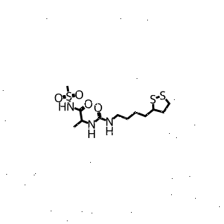 CC(NC(=O)NCCCCC1CCSS1)C(=O)NS(C)(=O)=O